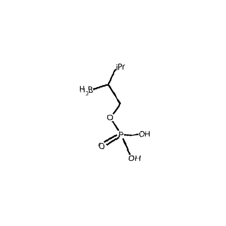 BC(COP(=O)(O)O)C(C)C